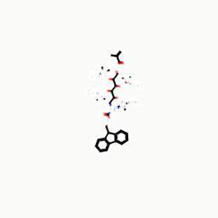 C=C(C)C(=O)OCC(O[Si](C)(C)C(C)(C)C)C(O[Si](C)(C)C(C)(C)C)C(O[Si](C)(C)C(C)(C)C)C(CNC(=O)OCC1c2ccccc2-c2ccccc21)O[Si](C)(C)C(C)(C)C